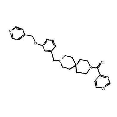 O=C(c1ccncn1)N1CCC2(CCN(Cc3cccc(OCc4ccncc4)c3)CC2)CC1